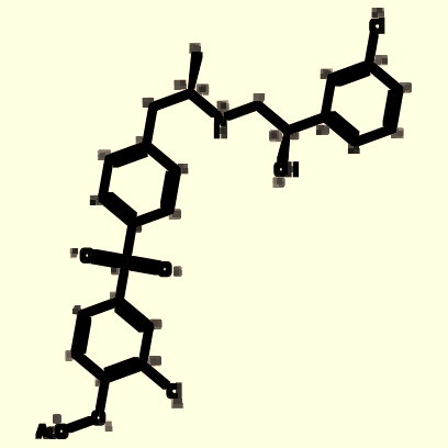 CC(=O)OOc1ccc(S(=O)(=O)c2ccc(C[C@@H](C)NC[C@H](O)c3cccc(Cl)c3)cc2)cc1Cl